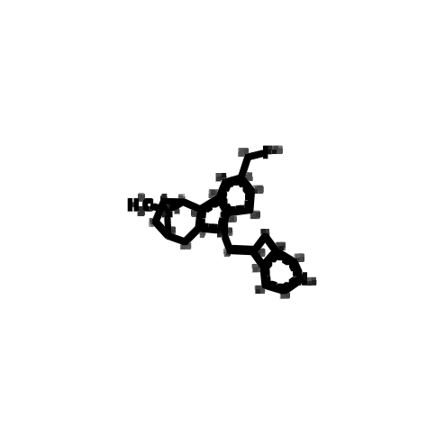 CN1C2CCC1c1c(n(/C=C3\Cc4cnccc43)c3ccc(CF)cc13)C2